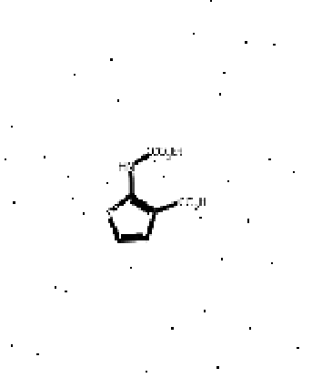 CCOC(=O)Nc1sccc1C(=O)O